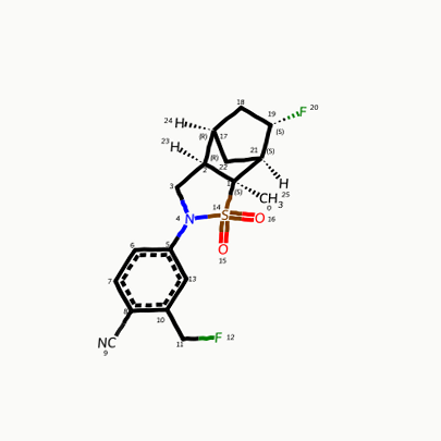 C[C@@]12[C@@H](CN(c3ccc(C#N)c(CF)c3)S1(=O)=O)[C@H]1C[C@H](F)[C@@H]2C1